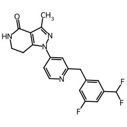 Cc1nn(-c2ccnc(Cc3cc(F)cc(C(F)F)c3)c2)c2c1C(=O)NCC2